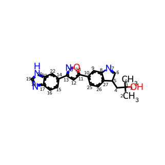 CC(C)(O)CC1C=Nc2cc(-c3cc(-c4ccc5nc[nH]c5c4)no3)ccc21